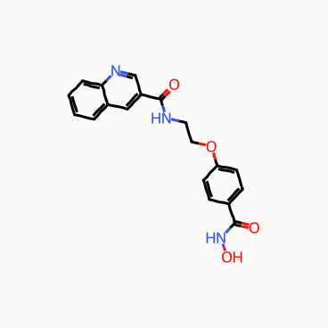 O=C(NO)c1ccc(OCCNC(=O)c2cnc3ccccc3c2)cc1